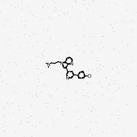 CN(C)CCCn1cc(-c2cncc(-c3ccc(Cl)cc3)c2)c2ncccc21